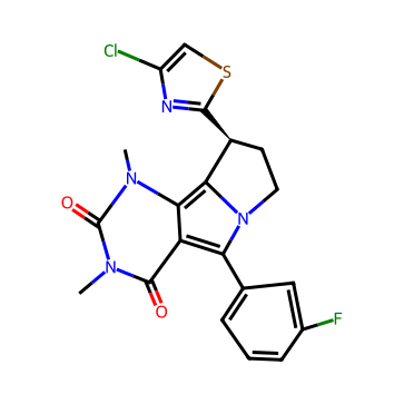 Cn1c(=O)c2c(-c3cccc(F)c3)n3c(c2n(C)c1=O)[C@@H](c1nc(Cl)cs1)CC3